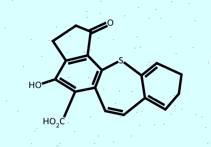 O=C(O)c1c(O)c2c(c3c1C=CC1=CCCC=C1S3)C(=O)CC2